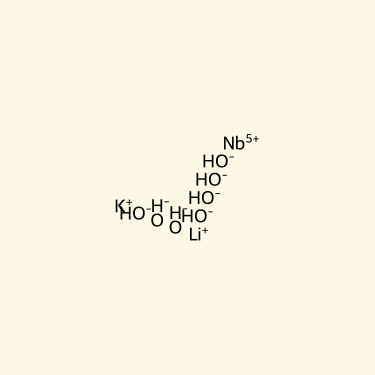 [K+].[Li+].[Nb+5].[OH-].[OH-].[OH-].[OH-].[OH-].[OH-].[OH-]